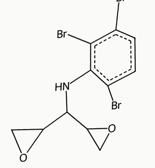 Brc1ccc(Br)c(NC(C2CO2)C2CO2)c1Br